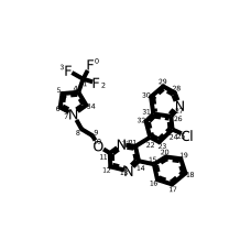 FC(F)(F)c1ccn(CCOc2cnc(-c3ccccc3)c(-c3cc(Cl)c4ncccc4c3)n2)c1